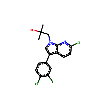 CC(C)(O)Cn1cc(-c2ccc(Cl)c(F)c2)c2ccc(Cl)nc21